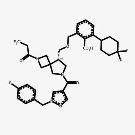 O=C(O)c1c(COC[C@@H]2CN(C(=O)c3cnn(Cc4ccc(F)cc4)c3)CC23CN(C(=O)CC(F)(F)F)C3)cccc1C1CCC(F)(F)CC1